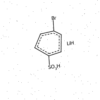 O=S(=O)(O)c1ccc(Br)cc1.[LiH]